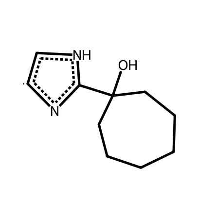 OC1(c2n[c]c[nH]2)CCCCCC1